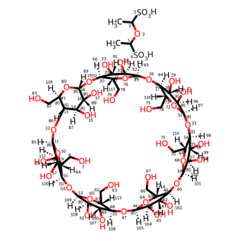 CC(OC(C)S(=O)(=O)O)S(=O)(=O)O.OC[C@H]1O[C@@H]2O[C@H]3[C@H](O)[C@@H](O)[C@@H](O[C@H]4[C@H](O)[C@@H](O)[C@@H](O[C@H]5[C@H](O)[C@@H](O)[C@@H](O[C@H]6[C@H](O)[C@@H](O)[C@@H](O[C@H]7[C@H](O)[C@@H](O)[C@@H](O[C@H]8[C@H](O)[C@@H](O)[C@@H](O[C@H]1[C@H](O)[C@H]2O)O[C@@H]8CO)O[C@@H]7CO)O[C@@H]6CO)O[C@@H]5CO)O[C@@H]4CO)O[C@@H]3CO